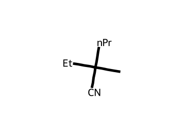 CCCC(C)(C#N)CC